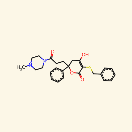 CN1CCN(C(=O)CCC2(c3ccccc3)CC(O)=C(SCc3ccccc3)C(=O)O2)CC1